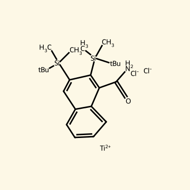 CC(C)(C)[Si](C)(C)c1cc2ccccc2c(C(N)=O)c1[Si](C)(C)C(C)(C)C.[Cl-].[Cl-].[Ti+2]